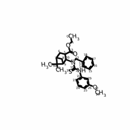 CCOC(=O)C1CC2CC(C1N(Cc1ccccc1)C(=S)Nc1cccc(OC)c1)C2(C)C